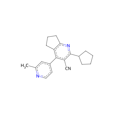 Cc1cc(-c2c(C#N)c(C3CCCC3)nc3c2CCC3)ccn1